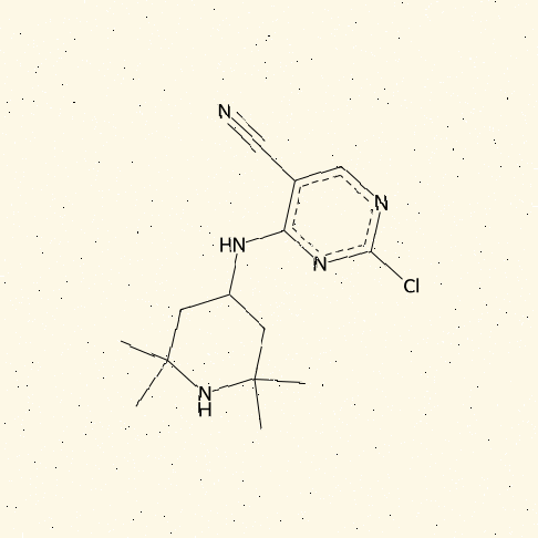 CC1(C)CC(Nc2nc(Cl)ncc2C#N)CC(C)(C)N1